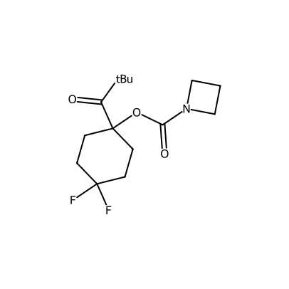 CC(C)(C)C(=O)C1(OC(=O)N2CCC2)CCC(F)(F)CC1